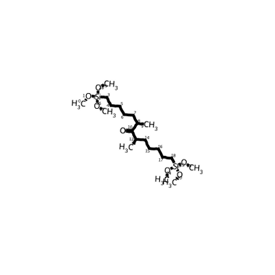 CO[Si](CCCCCC(C)C(=O)C(C)CCCCC[Si](OC)(OC)OC)(OC)OC